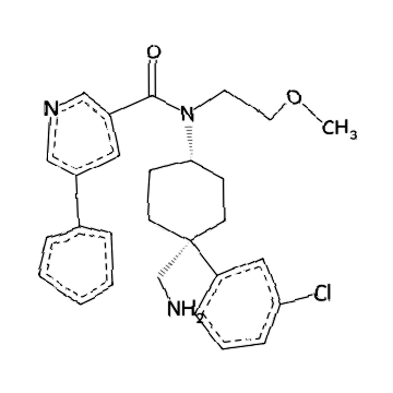 COCCN(C(=O)c1cncc(-c2ccccc2)c1)[C@H]1CC[C@](CN)(c2cccc(Cl)c2)CC1